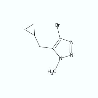 Cn1nnc(Br)c1CC1CC1